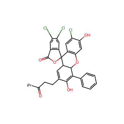 CC(C)C(=O)CCC1=CC2C(Oc3cc(O)c(Cl)cc3C23OC(=O)c2cc(Cl)c(Cl)cc23)C(c2ccccc2)=C1O